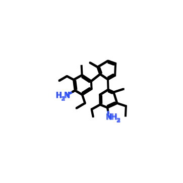 CCc1cc(-c2cccc(C)c2-c2cc(CC)c(N)c(CC)c2C)c(C)c(CC)c1N